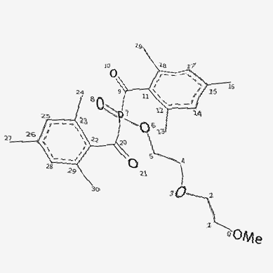 COCCOCCOP(=O)(C(=O)c1c(C)cc(C)cc1C)C(=O)c1c(C)cc(C)cc1C